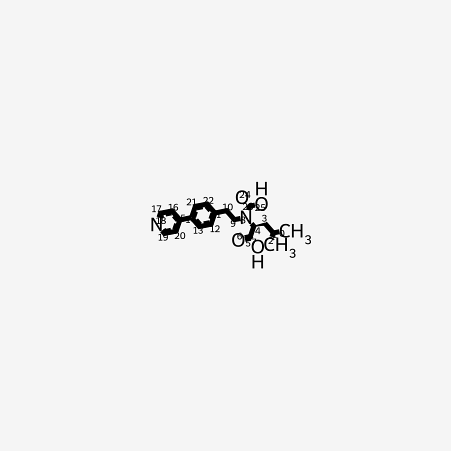 CC(C)C[C@@H](C(=O)O)N(CCc1ccc(-c2ccncc2)cc1)C(=O)O